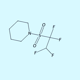 O=S(=O)(N1CCCCC1)C(F)(F)C(F)F